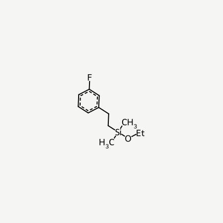 CCO[Si](C)(C)CCc1cccc(F)c1